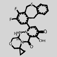 O=C1c2c(O)c(=O)cc(-c3cc(F)c(F)c4c3Cc3ccccc3SC4)n2N[C@@H]2COCC3(CC3)N12